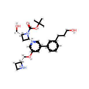 CC(C)(C)OC(=O)N1CC[C@@H]1CO.OCCCc1cccc(-c2cncc(OC[C@H]3CCN3)c2)c1